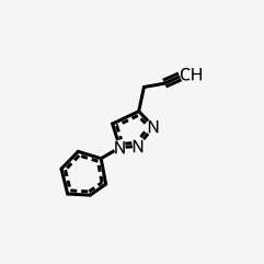 C#CCc1cn(-c2ccccc2)nn1